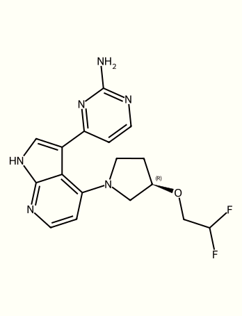 Nc1nccc(-c2c[nH]c3nccc(N4CC[C@@H](OCC(F)F)C4)c23)n1